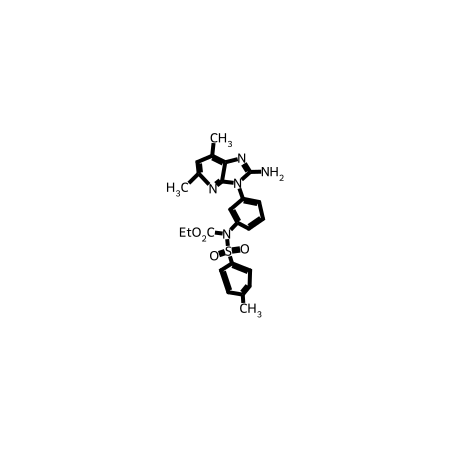 CCOC(=O)N(c1cccc(-n2c(N)nc3c(C)cc(C)nc32)c1)S(=O)(=O)c1ccc(C)cc1